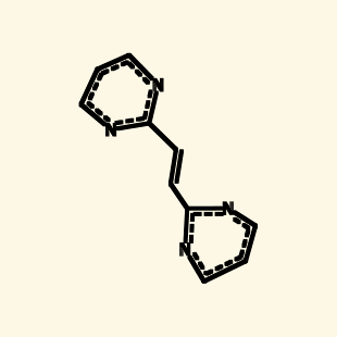 C(=C\c1ncccn1)/c1ncccn1